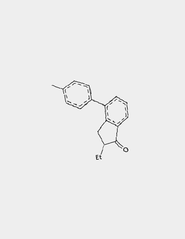 CCC1Cc2c(cccc2-c2ccc(C)cc2)C1=O